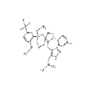 COc1ccc(C(F)(F)F)cc1[C@@]1(OC)COCC2(C1)OC[C@H](c1ccc(F)cc1)N2Cc1nn[nH]c1CN(C)C